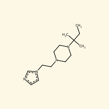 CCC(C)(C)N1CCN(CCn2ccnc2)CC1